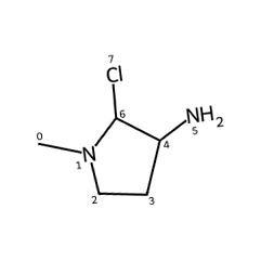 CN1CCC(N)C1Cl